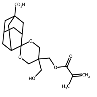 C=C(C)C(=O)OCC1(CO)COC2(OC1)C1CC3CC2CC(C(=O)O)(C3)C1